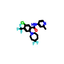 Cc1cc(NC(=O)c2cc(Cl)c(C(F)(F)F)cc2N2CCCC(F)(F)CC2)ccn1